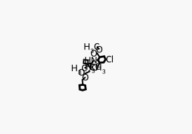 COC(=O)c1cc(Cl)cc(C)c1NC(=O)C1([N+](C)(C)CC(=O)OCc2ccccc2)CCC1